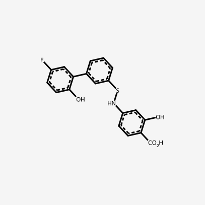 O=C(O)c1ccc(NSc2cccc(-c3cc(F)ccc3O)c2)cc1O